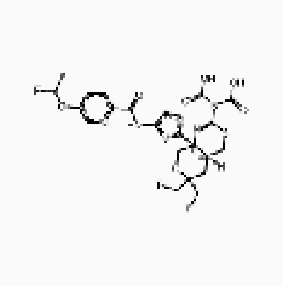 O=C(Nc1csc([C@]23COC(CF)(CF)C[C@H]2CSC(N(C(=O)O)C(=O)O)=N3)n1)c1ccc(OC(F)F)cn1